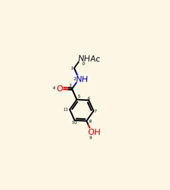 CC(=O)NCNC(=O)c1ccc(O)cc1